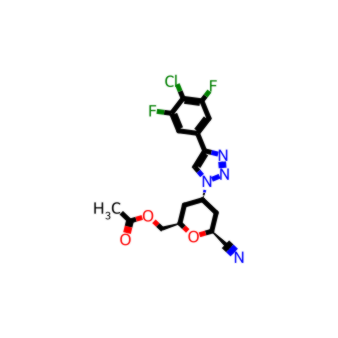 CC(=O)OC[C@H]1C[C@H](n2cc(-c3cc(F)c(Cl)c(F)c3)nn2)C[C@@H](C#N)O1